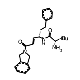 CC[C@H](C)[C@H](N)C(=O)N[C@H](C=CC(=O)N1Cc2ccccc2C1)CCc1ccccc1